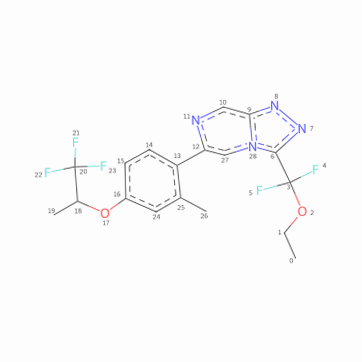 CCOC(F)(F)c1nnc2cnc(-c3ccc(OC(C)C(F)(F)F)cc3C)cn12